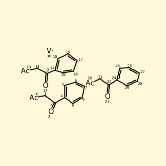 CC(=O)CC(=O)c1ccccc1.CC(=O)CC(=O)c1ccccc1.CC(=O)CC(=O)c1ccccc1.[V]